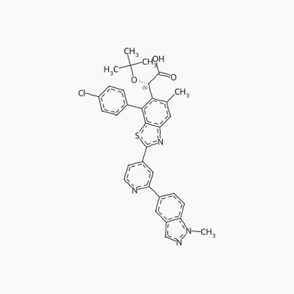 Cc1cc2nc(-c3ccnc(-c4ccc5c(cnn5C)c4)c3)sc2c(-c2ccc(Cl)cc2)c1[C@H](OC(C)(C)C)C(=O)O